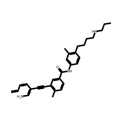 C=C/C=C\C(C#Cc1cc(C(=O)Nc2ccc(CCCCNCCC)c(C)c2)ccc1C)=C/N